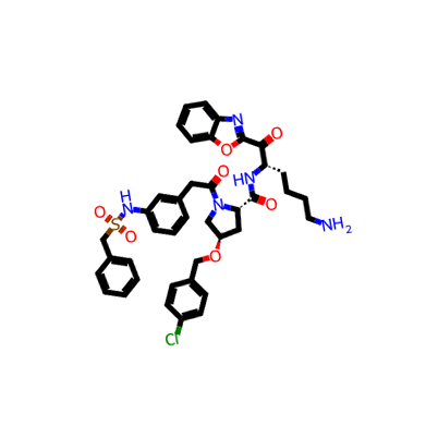 NCCCC[C@H](NC(=O)[C@@H]1C[C@@H](OCc2ccc(Cl)cc2)CN1C(=O)Cc1cccc(NS(=O)(=O)Cc2ccccc2)c1)C(=O)c1nc2ccccc2o1